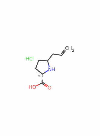 C=CCC1CC[C@@H](C(=O)O)N1.Cl